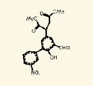 COC(=O)CC(C(=O)OC)c1cc(C=O)c(O)c(-c2cccc([N+](=O)[O-])c2)c1